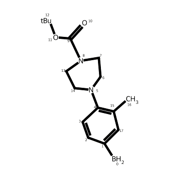 Bc1ccc(N2CCN(C(=O)OC(C)(C)C)CC2)c(C)c1